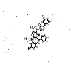 C[C@H](NC(=O)Cc1cc(F)cc(F)c1)C(=O)N[C@@H]1C(=O)N(C)c2cc(F)ccc2C[C@@H]1c1ccccc1